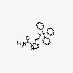 NC(=O)c1ncsc1C=CSC(c1ccccc1)(c1ccccc1)c1ccccc1